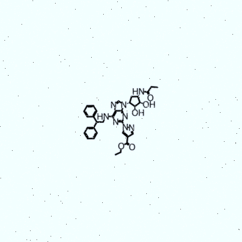 CCOC(=O)c1cnn(-c2nc(NCC(c3ccccc3)c3ccccc3)c3ncn([C@@H]4C[C@H](NC(=O)CC)[C@@H](O)[C@H]4O)c3n2)c1